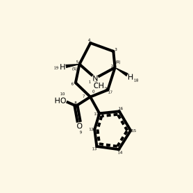 CN1[C@@H]2CC[C@H]1CC(C(=O)O)(c1ccccc1)C2